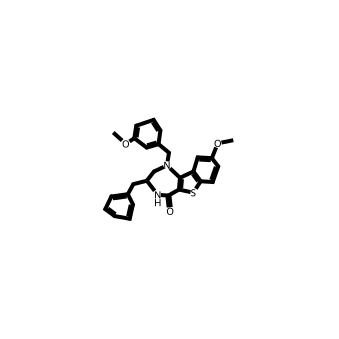 COc1cccc(CN2CC(Cc3ccccc3)NC(=O)c3sc4ccc(OC)cc4c32)c1